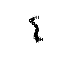 O=C1CCC(N2Cc3cc(N4CCN(CC5CCN(c6ccc(C7=CCCCc8cc(O)ccc87)cc6)CC5)CC4)ccc3C2=O)C(=O)N1